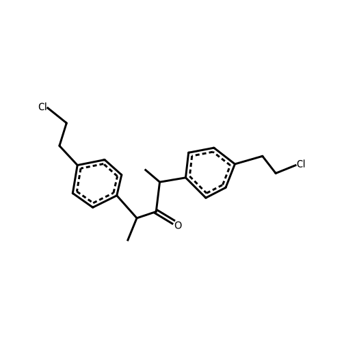 CC(C(=O)C(C)c1ccc(CCCl)cc1)c1ccc(CCCl)cc1